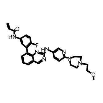 C=CC(=O)Nc1ccc(F)c(-c2cccc3cnc(Nc4ccc(N5CCN(CCOC)CC5)nc4)nc23)c1